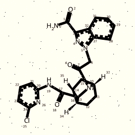 NC(=O)c1nn(CC(=O)N2[C@H]3CC[C@H](CC3)[C@@H]2C(=O)Nc2cccc(Cl)n2)c2ccccc12